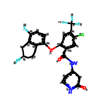 O=C(Nc1cc[nH]c(=O)c1)c1cc(Cl)c(C(F)(F)F)cc1Oc1ccc(F)c2c1C[C@@H](F)C2